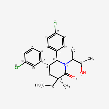 CCC([C@H](C)O)N1C(=O)[C@@](C)(CC(=O)O)C[C@H](c2cccc(Cl)c2)[C@H]1c1ccc(Cl)cc1